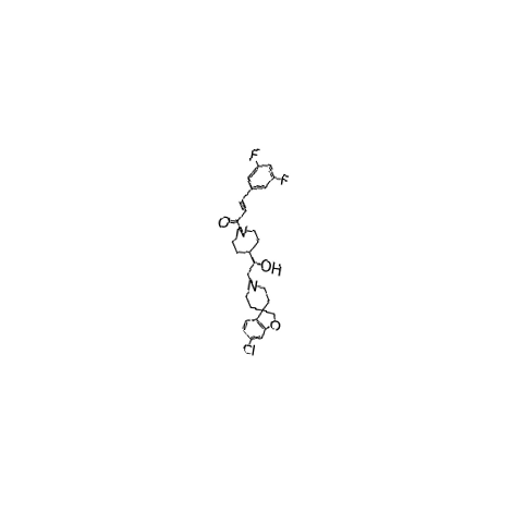 O=C(/C=C/c1cc(F)cc(F)c1)N1CCC([C@@H](O)CN2CCC3(CC2)COc2cc(Cl)ccc23)CC1